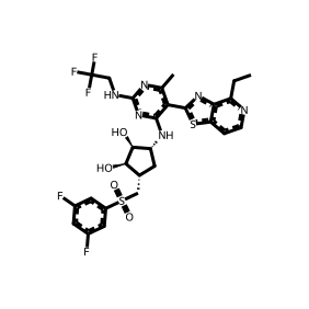 CCc1nccc2sc(-c3c(C)nc(NCC(F)(F)F)nc3N[C@@H]3C[C@H](CS(=O)(=O)c4cc(F)cc(F)c4)[C@@H](O)[C@H]3O)nc12